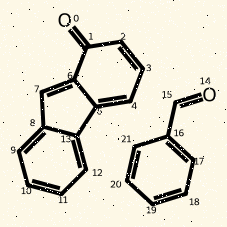 O=C1C=CC=C2C1=Cc1ccccc12.O=Cc1ccccc1